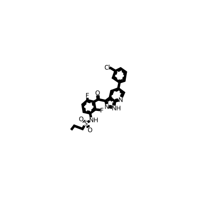 CCCS(=O)(=O)Nc1ccc(F)c(C(=O)c2n[nH]c3ncc(-c4cccc(Cl)c4)cc23)c1F